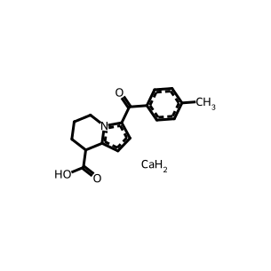 Cc1ccc(C(=O)c2ccc3n2CCCC3C(=O)O)cc1.[CaH2]